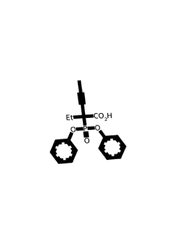 CC#CC(CC)(C(=O)O)P(=O)(Oc1ccccc1)Oc1ccccc1